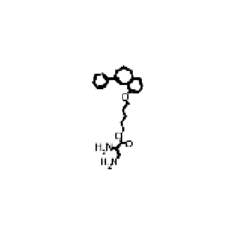 NCC(N)C(=O)OCCCCCOc1cccc2c1C=C(c1ccccc1)CCC2